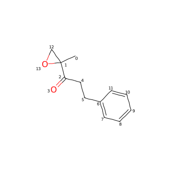 CC1(C(=O)CCc2ccccc2)CO1